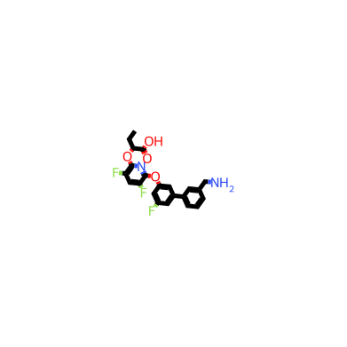 CCC(Oc1nc(Oc2cc(F)cc(-c3cccc(CN)c3)c2)c(F)cc1F)C(=O)O